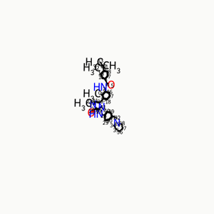 Cc1c(NC(=O)c2ccc(C(C)(C)C)cc2)cccc1-c1cn(C)c(=O)c(Nc2ccc(CN3CCCCC3)cc2)n1